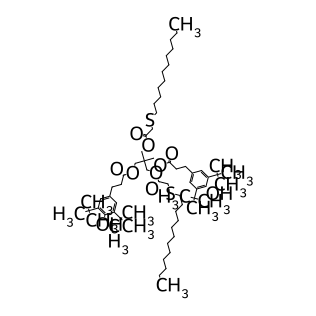 CCCCCCCCCCCCSCC(=O)OCC(COC(=O)CCc1cc(C(C)(C)C)c(O)c(C(C)(C)C)c1)(COC(=O)CCc1cc(C(C)(C)C)c(O)c(C(C)(C)C)c1)COC(=O)CSCCCCCCCCCCCC